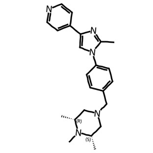 Cc1nc(-c2ccncc2)cn1-c1ccc(CN2C[C@@H](C)N(C)[C@@H](C)C2)cc1